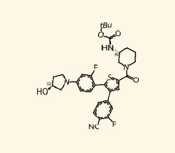 CC(C)(C)OC(=O)N[C@@H]1CCCN(C(=O)c2cc(-c3ccc(C#N)c(F)c3)c(-c3ccc(N4CC[C@H](O)C4)cc3F)s2)C1